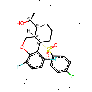 C[C@H](O)[C@@H]1CCC[C@@]2(S(=O)(=O)c3ccc(Cl)cc3)c3c(F)ccc(F)c3OC[C@@H]12